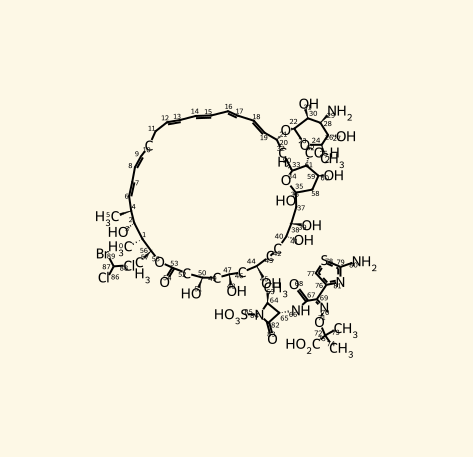 C[C@@H]1[C@H](O)[C@@H](C)/C=C/C=C/CC/C=C/C=C/C=C/C=C/[C@H](O[C@@H]2O[C@H](C)[C@@H](O)[C@H](N)[C@@H]2O)C[C@@H]2O[C@](O)(C[C@@H](O)[C@H](O)CC[C@@H](O)C[C@@H](O)C[C@@H](O)CC(=O)O[C@H]1C)C[C@H](O)[C@H]2C(=O)O.C[C@H]1[C@H](NC(=O)/C(=N\OC(C)(C)C(=O)O)c2csc(N)n2)C(=O)N1S(=O)(=O)O.ClC(Cl)Br